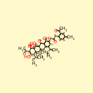 CC(=O)C1=C(O)C(C(C)C)[C@@]2(C)C[C@@]3(C)Cc4c(C(C)C)cc(CC(=O)Cc5ccc(C)cc5C(C)=O)c(O)c4C(=O)C3=C(O)[C@@]2(O)C1=O